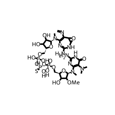 C=NC1=C(N(C)[C@@H]2O[C@H](CO[PH](O)(O)OP(O)(=S)OP(=O)(O)OC[C@H]3O[C@@H](N(C)c4nc(N)[nH]c(=O)c4N(C)C)C(OC)C3O)C(O)C2O)N=C(N)NC2OC12